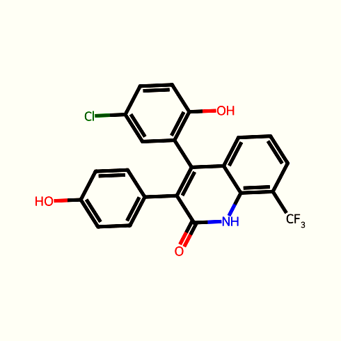 O=c1[nH]c2c(C(F)(F)F)cccc2c(-c2cc(Cl)ccc2O)c1-c1ccc(O)cc1